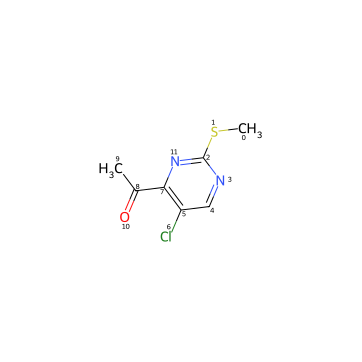 CSc1ncc(Cl)c(C(C)=O)n1